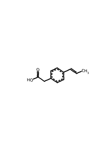 C/C=C/c1ccc(CC(=O)O)cc1